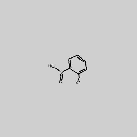 O=S(O)c1ccccc1Cl